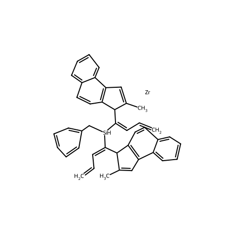 C=CC=C(C1C(C)=Cc2c1ccc1ccccc21)[SiH](Cc1ccccc1)C(=CC=C)C1C(C)=Cc2c1ccc1ccccc21.[Zr]